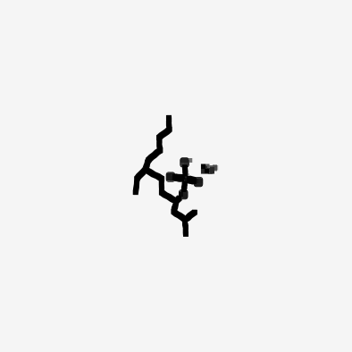 CCCCCC(CC)CCC(CC(C)C)OS(=O)(=O)[O-].[Na+]